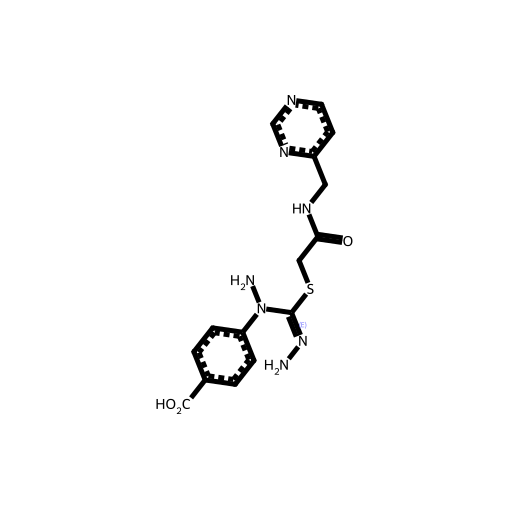 N/N=C(/SCC(=O)NCc1ccncn1)N(N)c1ccc(C(=O)O)cc1